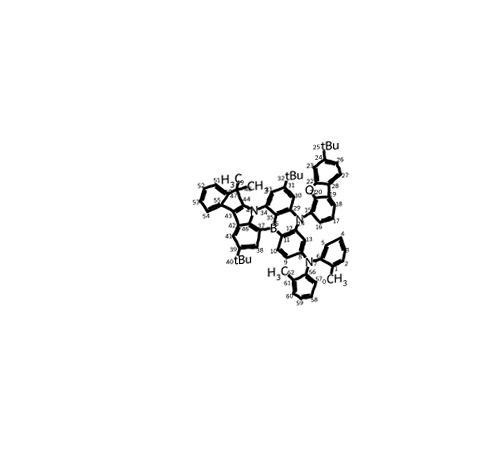 Cc1ccccc1N(c1ccc2c(c1)N(c1cccc3c1oc1cc(C(C)(C)C)ccc13)c1cc(C(C)(C)C)cc3c1B2c1cc(C(C)(C)C)cc2c4c(n-3c12)C(C)(C)c1ccccc1-4)c1ccccc1C